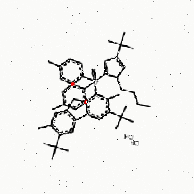 Cl.Cl.[CH2]=[Zr]([C]1=CC(C(C)(C)C)=CC1CCCC)([c]1ccc(C)cc1)([c]1ccc(C)cc1)[c]1c(C)c(C(C)(C)C)cc2c1Cc1cc(C)c(C(C)(C)C)cc1-2